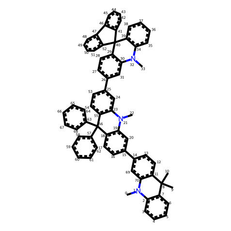 CN1c2ccccc2C(C)(C)c2ccc(-c3ccc4c(c3)N(C)c3cc(-c5ccc6c(c5)N(C)c5ccccc5C65c6ccccc6-c6ccccc65)ccc3C4(c3ccccc3)c3ccccc3)cc21